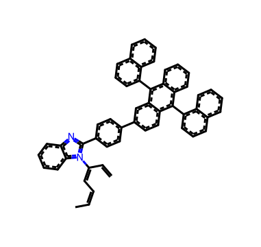 C=C/C(=C\C=C/C)n1c(-c2ccc(-c3ccc4c(-c5cccc6ccccc56)c5ccccc5c(-c5cccc6ccccc56)c4c3)cc2)nc2ccccc21